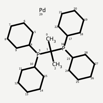 CC(C)(P(C1CCCCC1)C1CCCCC1)P(C1CCCCC1)C1CCCCC1.[Pd]